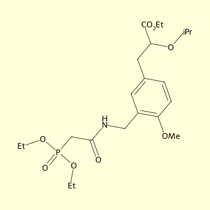 CCOC(=O)C(Cc1ccc(OC)c(CNC(=O)CP(=O)(OCC)OCC)c1)OC(C)C